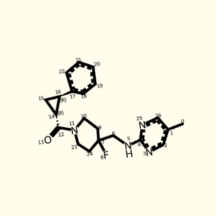 Cc1cnc(NCC2(F)CCN(C(=O)[C@@H]3C[C@H]3c3ccccc3)CC2)nc1